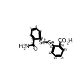 NC(=O)c1ccccc1[Se][Se]c1ccccc1C(=O)O